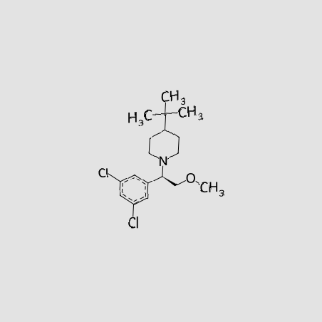 COC[C@@H](c1cc(Cl)cc(Cl)c1)N1CCC(C(C)(C)C)CC1